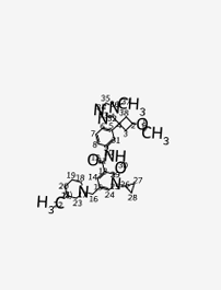 COC1CC(c2cccc(NC(=O)c3cc(CN4CCC[C@H](C)C4)cn(C4CC4)c3=O)c2)(c2nncn2C)C1